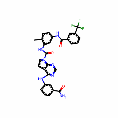 Cc1ccc(NC(=O)c2cccc(C(F)(F)F)c2)cc1NC(=O)n1ccc2c(Nc3cccc(C(N)=O)c3)ncnc21